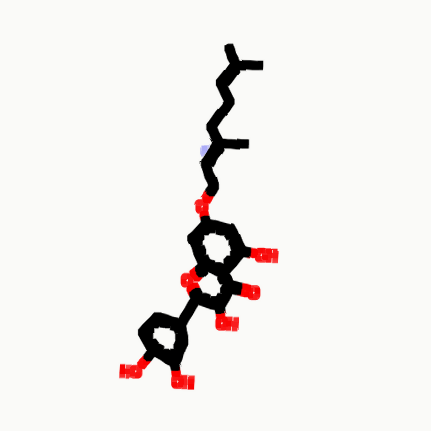 CC(C)=CCC/C(C)=C/COc1cc(O)c2c(=O)c(O)c(-c3ccc(O)c(O)c3)oc2c1